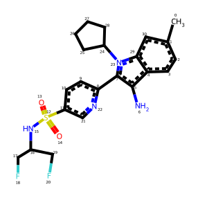 Cc1ccc2c(N)c(-c3ccc(S(=O)(=O)NC(CF)CF)cn3)n(C3CCCC3)c2c1